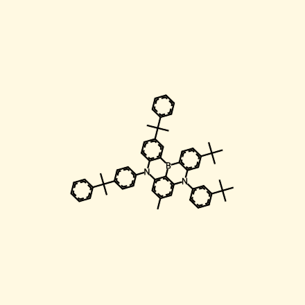 Cc1cc2c3c(c1)N(c1cccc(C(C)(C)C)c1)c1cc(C(C)(C)C)ccc1B3c1cc(C(C)(C)c3ccccc3)ccc1N2c1ccc(C(C)(C)c2ccccc2)cc1